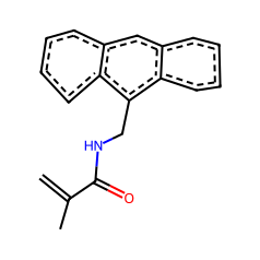 C=C(C)C(=O)NCc1c2ccccc2cc2ccccc12